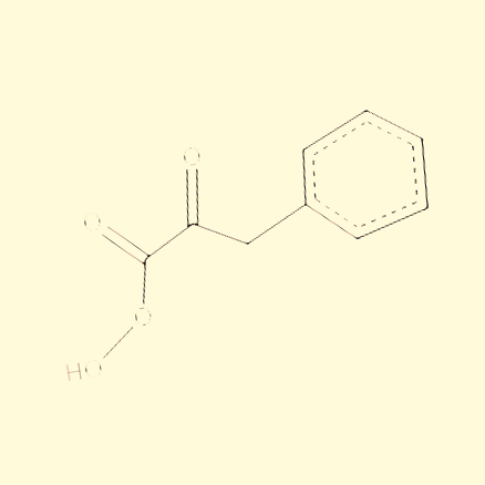 O=C(Cc1ccccc1)C(=O)OO